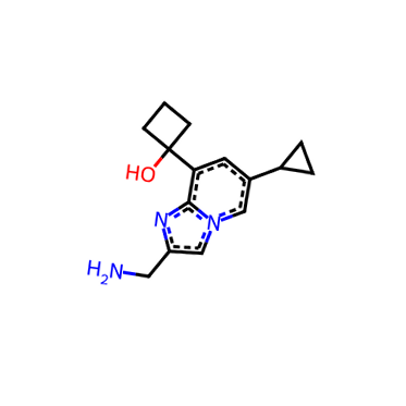 NCc1cn2cc(C3CC3)cc(C3(O)CCC3)c2n1